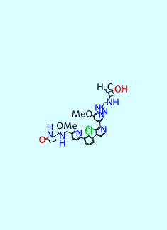 COc1nc(-c2cccc(-c3ccnc(-c4cc(OC)c5nc(CNC6CC(C)(O)C6)nn5c4)c3Cl)c2Cl)ccc1CNC[C@H]1CCC(=O)N1